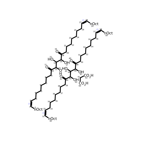 CCCCCCCC/C=C\CCCCCCCC(=O)C(O)C(O)C(O)C(=O)CCCCCCC/C=C\CCCCCCCC.CCCCCCCC/C=C\CCCCCCCC(=O)C(O)C(O)C(O)C(=O)CCCCCCC/C=C\CCCCCCCC.O=C(O)CC(=O)O